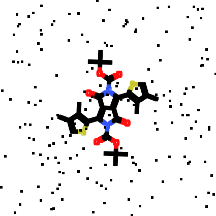 Cc1csc(C2=C3C(=O)N(C(=O)OC(C)(C)C)C(c4scc(C)c4C)=C3C(=O)N2C(=O)OC(C)(C)C)c1C